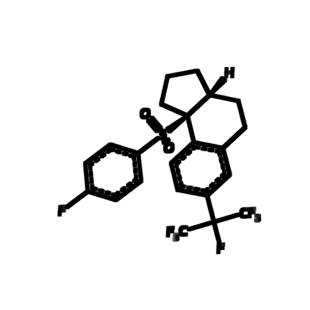 O=S(=O)(c1ccc(F)cc1)[C@@]12CCC[C@@H]1CCc1cc(C(F)(C(F)(F)F)C(F)(F)F)ccc12